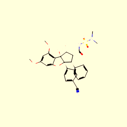 COc1cc(OC)c2c(c1)O[C@@]1(c3ccc(C#N)cc3)[C@H](c3ccccc3)[C@@H](C(=O)NS(=O)(=O)N(C)C)[C@@H](O)[C@@]21O